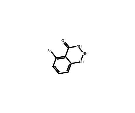 O=C1NNNc2cccc(Br)c21